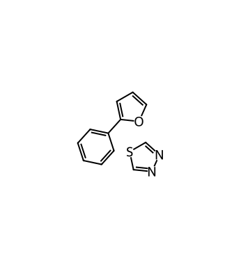 c1ccc(-c2ccco2)cc1.c1nncs1